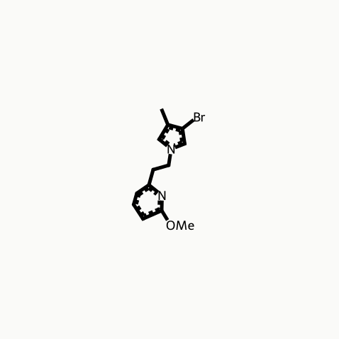 COc1cccc(CCn2cc(C)c(Br)c2)n1